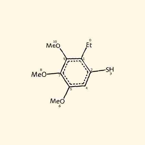 CCc1c(S)cc(OC)c(OC)c1OC